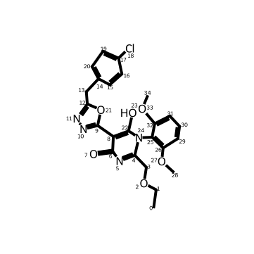 CCOCc1nc(=O)c(-c2nnc(Cc3ccc(Cl)cc3)o2)c(O)n1-c1c(OC)cccc1OC